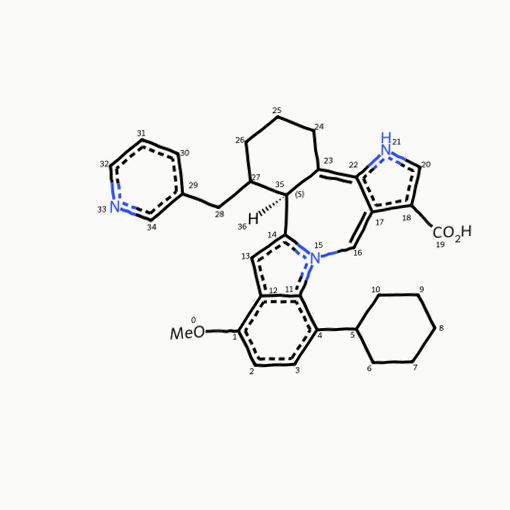 COc1ccc(C2CCCCC2)c2c1cc1n2C=c2c(C(=O)O)c[nH]c2=C2CCCC(Cc3cccnc3)[C@@H]21